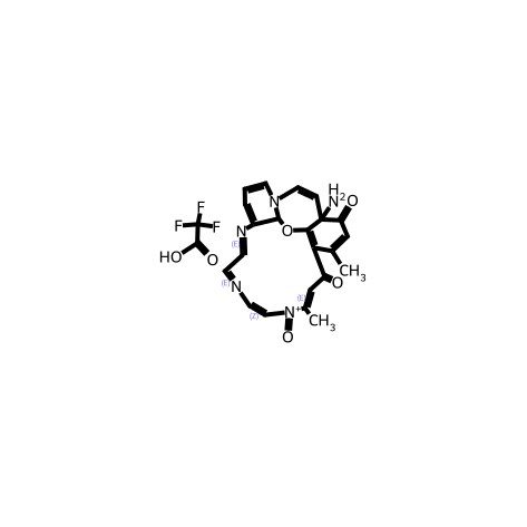 CC1=CC(=O)C2(N)C=CN3C=CC=C4/N=C/C=N/C=C\[N+](=O)/C(C)=C/C(=O)C1=C2OC43.O=C(O)C(F)(F)F